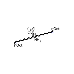 CCCCCCCC/C=C\CCCCCCCC(N)C(N)CCCCCCC/C=C\CCCCCCCC.[Cl][Pb]([Cl])([Cl])[Cl]